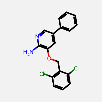 Nc1ncc(-c2ccccc2)cc1OCc1c(Cl)cccc1Cl